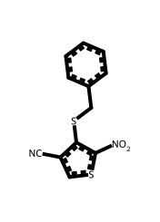 N#Cc1csc([N+](=O)[O-])c1SCc1ccccc1